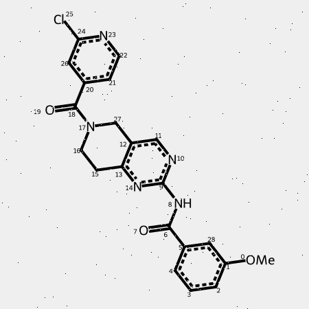 COc1cccc(C(=O)Nc2ncc3c(n2)CCN(C(=O)c2ccnc(Cl)c2)C3)c1